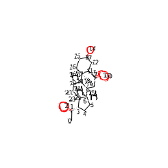 CC(=O)[C@H]1CC[C@H]2[C@@H]3CC(=O)C4CC(=O)CC[C@]4(C)[C@H]3CC[C@]12C